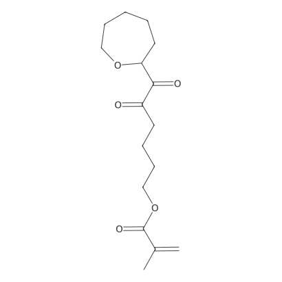 C=C(C)C(=O)OCCCCC(=O)C(=O)C1CCCCCO1